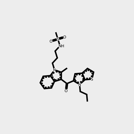 CCCn1c(C(=O)c2c(C)n(CCCNS(C)(=O)=O)c3ccccc23)cc2ccsc21